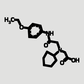 CCOc1ccc(NC(=O)CN(CC(=O)O)C2CCCCC2)cc1